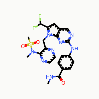 CNC(=O)c1ccc(Nc2ncc3cc(C(F)F)n(Cc4nccnc4N(C)S(C)(=O)=O)c3n2)cc1